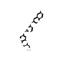 CN(C)CC1COc2ncc(Nc3nccc(Nc4cnc5ccc(Cl)cc5c4)n3)cc2O1